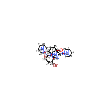 Brc1ccc(N2CC3CC(C2)N3COc2ccc(CN3C4CC3CN(c3ccc(Br)cn3)C4)cn2)nc1